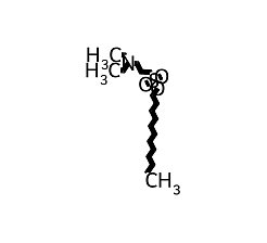 CCCCCCCCCCCCOS(=O)(=O)CCCN(CC)CC